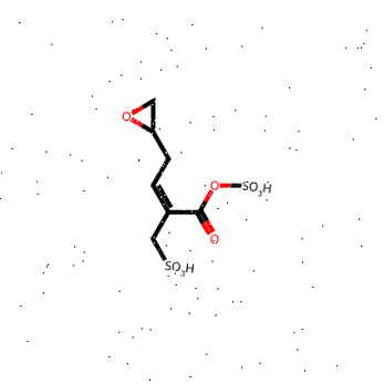 O=C(OS(=O)(=O)O)C(=CCC1CO1)CS(=O)(=O)O